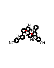 N#Cc1ccc(-c2ccc3c(c2)c2ccccc2n3-c2ccc(C#N)cc2-c2ccc(C#N)cc2-n2c3ccccc3c3cc(-c4ccc(C#N)cc4C#N)ccc32)c(C#N)c1